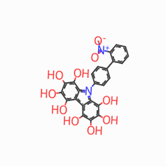 O=[N+]([O-])c1ccccc1-c1ccc(-n2c3c(O)c(O)c(O)c(O)c3c3c(O)c(O)c(O)c(O)c32)cc1